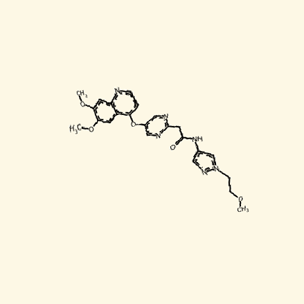 COCCn1cc(NC(=O)Cc2ncc(Oc3ccnc4cc(OC)c(OC)cc34)cn2)cn1